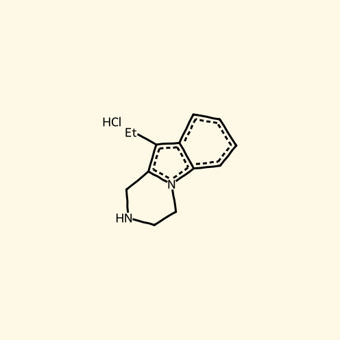 CCc1c2n(c3ccccc13)CCNC2.Cl